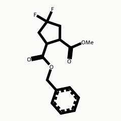 COC(=O)C1CC(F)(F)CC1C(=O)OCc1ccccc1